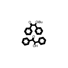 CC(C)COC(C(=O)c1ccccc1)c1ccccc1.O=C(c1ccccc1)C(O)c1ccccc1